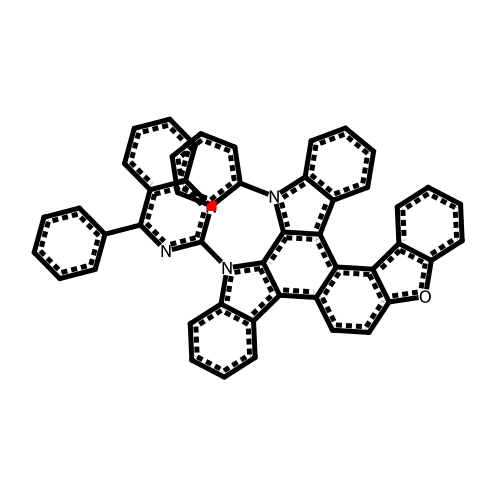 c1ccc(-c2nc(-n3c4ccccc4c4c5ccc6oc7ccccc7c6c5c5c6ccccc6n(-c6ccccc6)c5c43)nc3ccccc23)cc1